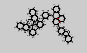 c1ccc(-c2ccccc2N(c2ccc(-c3ccc4c(c3)oc3ccccc34)cc2)c2cccc(-c3ccc4c(c3)C3(c5ccccc5-4)c4ccc5ccccc5c4Oc4c3ccc3ccccc43)c2)cc1